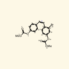 COC(=O)Oc1ccc(/C=C\c2ccc(OC(=O)OC)cc2Br)cc1